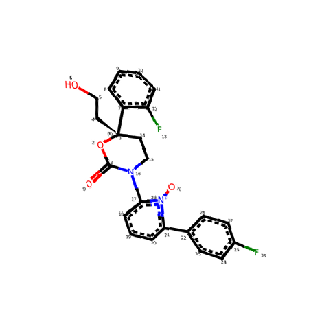 O=C1O[C@](CCO)(c2ccccc2F)CCN1c1cccc(-c2ccc(F)cc2)[n+]1[O-]